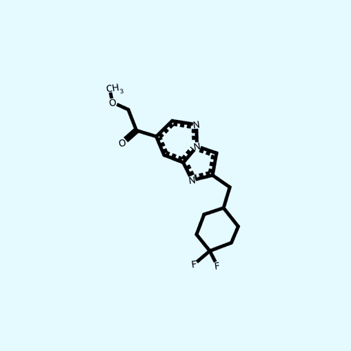 COCC(=O)c1cnn2cc(CC3CCC(F)(F)CC3)nc2c1